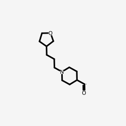 O=[C]C1CCN(CCCC2CCOC2)CC1